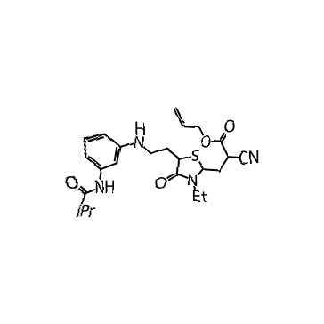 C=CCOC(=O)C(C#N)CC1SC(CCNc2cccc(NC(=O)C(C)C)c2)C(=O)N1CC